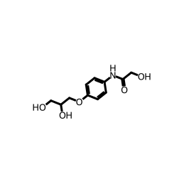 O=C(CO)Nc1ccc(OCC(O)CO)cc1